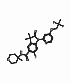 CC(F)(F)COc1ccnc(N2C(=O)C(C)(C)c3cc(C(=O)NC4(C)CCOCC4)c(F)cc32)c1